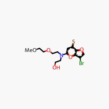 COCCOCCN(CCO)c1cc(=S)c2occ(Br)c2o1